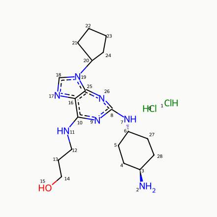 Cl.Cl.N[C@H]1CC[C@H](Nc2nc(NCCCO)c3ncn(C4CCCC4)c3n2)CC1